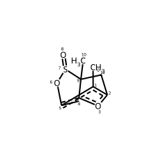 Cc1c2oc3c1OS(=O)C3(C)C2